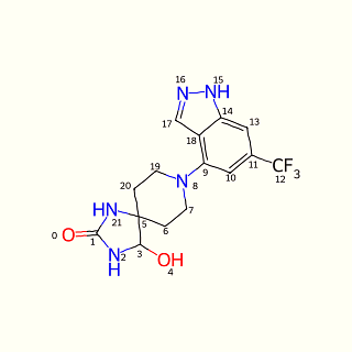 O=C1NC(O)C2(CCN(c3cc(C(F)(F)F)cc4[nH]ncc34)CC2)N1